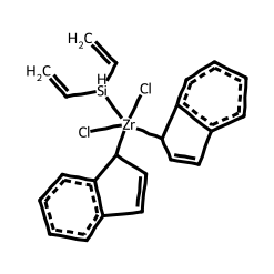 C=C[SiH](C=C)[Zr]([Cl])([Cl])([CH]1C=Cc2ccccc21)[CH]1C=Cc2ccccc21